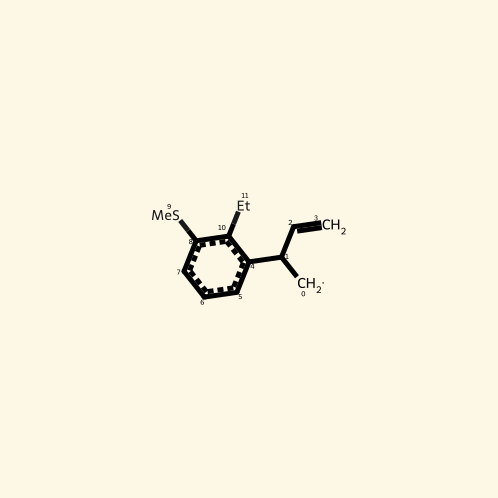 [CH2]C(C=C)c1cccc(SC)c1CC